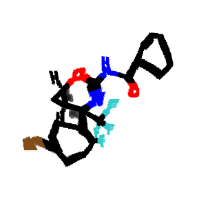 O=C(NC1=N[C@@](c2cc(Br)ccc2F)(C(F)(F)F)[C@H]2C[C@H]2O1)c1ccccc1